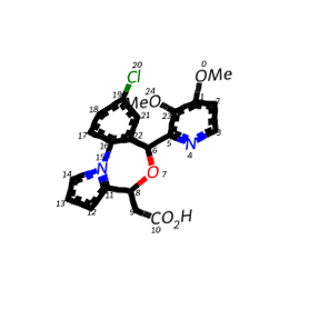 COc1ccnc(C2OC(CC(=O)O)c3cccn3-c3ccc(Cl)cc32)c1OC